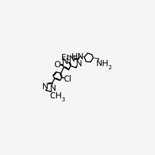 CCn1c(=O)c(-c2ccc(-c3cncc(C)n3)cc2Cl)cc2cnc(N[C@H]3CC[C@H](CN)CC3)nc21